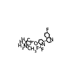 C[C@H](COc1ccc(-c2ccnc3cc(F)ccc23)nc1C(F)F)CC(C)(C)N